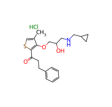 Cc1csc(C(=O)CCc2ccccc2)c1OCC(O)CNCC1CC1.Cl